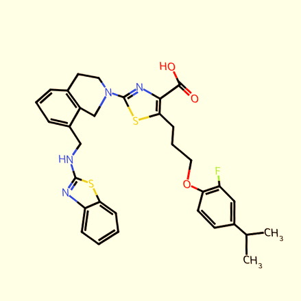 CC(C)c1ccc(OCCCc2sc(N3CCc4cccc(CNc5nc6ccccc6s5)c4C3)nc2C(=O)O)c(F)c1